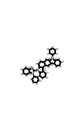 c1ccc(-n2c(-n3c4ccccc4c4c5cc6c7ccccc7n(-c7ccccc7)c6cc5ccc43)nc3ccccc32)cc1